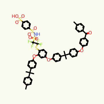 Cc1ccc(C(=O)c2ccc(Oc3ccc(C(C)(C)c4ccc(Oc5ccc(SC(F)(F)C(F)(F)S(=O)(=O)NS(=O)(=O)c6ccc(S(=O)(=O)O)cc6)c(Oc6ccc(C(C)(C)c7ccc(C)cc7)cc6)c5)cc4)cc3)cc2)cc1